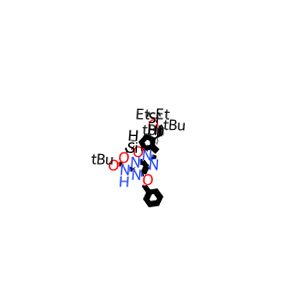 C=C1[C@H](CC(O[SiH](CC)CC)C(C)(C)C)[C@@H](C(C)(C)C)C[C@@]1(O[SiH](C)C)n1cnc2c(OCc3ccccc3)nc(NC(=O)OC(C)(C)C)nc21